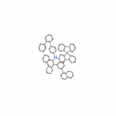 c1ccc(-c2ccccc2-c2ccc(N(c3ccc4c(c3)C3(c5ccccc5-c5ccccc53)c3ccccc3-4)c3c(-c4cccc(-c5cccc6ccccc56)c4)c4ccccc4c4ccccc34)cc2)cc1